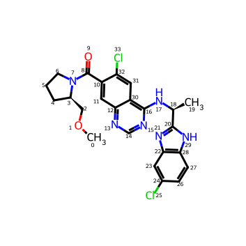 COC[C@H]1CCCN1C(=O)c1cc2ncnc(N[C@@H](C)c3nc4cc(Cl)ccc4[nH]3)c2cc1Cl